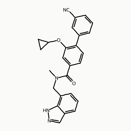 CN(Cc1cccc2cn[nH]c12)C(=O)c1ccc(-c2cccc(C#N)c2)c(OC2CC2)c1